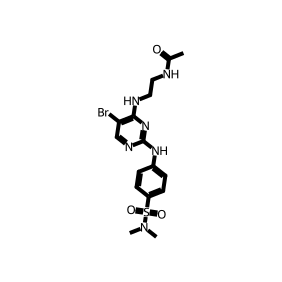 CC(=O)NCCNc1nc(Nc2ccc(S(=O)(=O)N(C)C)cc2)ncc1Br